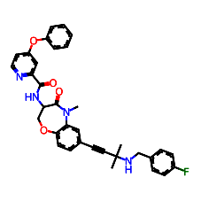 CN1C(=O)C(NC(=O)c2cc(Oc3ccccc3)ccn2)COc2ccc(C#CC(C)(C)NCc3ccc(F)cc3)cc21